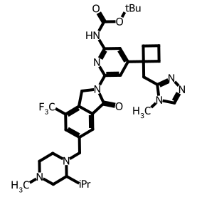 CC(C)C1CN(C)CCN1Cc1cc2c(c(C(F)(F)F)c1)CN(c1cc(C3(Cc4nncn4C)CCC3)cc(NC(=O)OC(C)(C)C)n1)C2=O